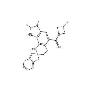 CC1Nc2c(cc(C(=O)N3CC(F)C3)c3c2NC2(C=C4CC=CC=C4C2)CC3)N1C